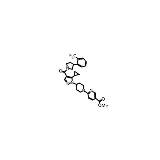 COC(=O)c1ccc(N2CCC(n3ncc(C(=O)N4CCC(c5ccccc5C(F)(F)F)C4)c3C3CC3)CC2)nc1